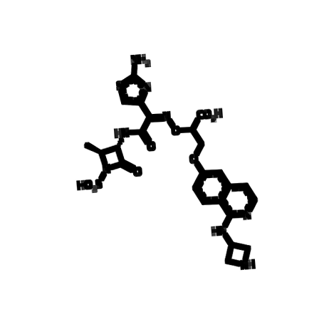 C[C@H]1[C@H](NC(=O)/C(=N\OC(COc2ccc3c(NC4CNC4)nccc3c2)C(=O)O)c2csc(N)n2)C(=O)N1S(=O)(=O)O